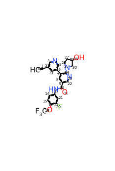 C#Cc1cncc(-c2cc(C(=O)Nc3ccc(OC(F)(F)F)c(F)c3)cnc2N2CC[C@@H](O)C2)c1